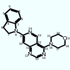 c1ccc2c(c1)CCN2c1cc2ncnc(N3CCOCC3)c2cn1